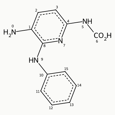 Nc1ccc(NC(=O)O)nc1Nc1ccccc1